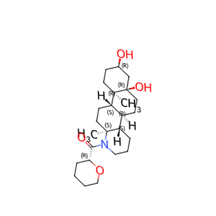 C[C@]12CC[C@H]3[C@@H](CC[C@@]4(O)C[C@H](O)CC[C@]34C)[C@@H]1CCCN2C(=O)[C@H]1CCCCO1